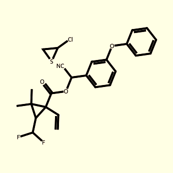 C=CC1(C(=O)OC(C#N)c2cccc(Oc3ccccc3)c2)C(C(F)F)C1(C)C.ClC1CS1